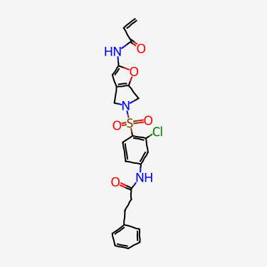 C=CC(=O)Nc1cc2c(o1)CN(S(=O)(=O)c1ccc(NC(=O)CCc3ccccc3)cc1Cl)C2